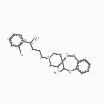 CC1Oc2ccccc2COC12CCN(CCCC(O)c1ccccc1F)CC2